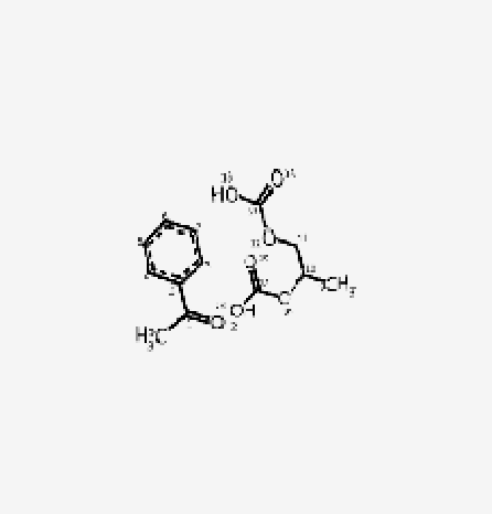 CC(=O)c1ccccc1.CC(COC(=O)O)OC(=O)O